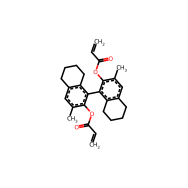 C=CC(=O)Oc1c(C)cc2c(c1-c1c3c(cc(C)c1OC(=O)C=C)CCCC3)CCCC2